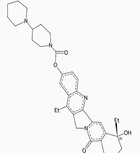 CCc1c2c(nc3ccc(OC(=O)N4CCC(N5CCCCC5)CC4)cc13)-c1cc3c(c(=O)n1C2)COC[C@]3(O)CC